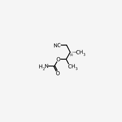 CC(OC(N)=O)[C@@H](C)CC#N